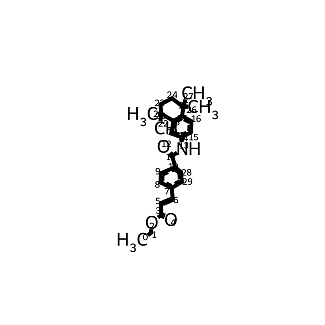 CCOC(=O)C=Cc1ccc(C(=O)Nc2ccc3c(c2)C(C)(C)CCC3(C)C)cc1